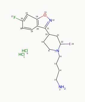 Cl.Cl.NCCCCN1CCC(c2noc3cc(F)ccc23)CC1I